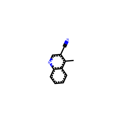 Cc1c(C#N)cnc2ccccc12